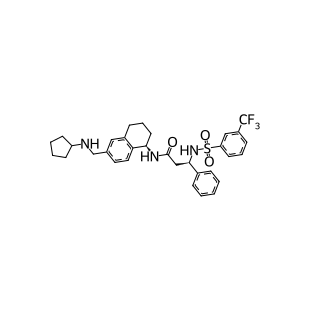 O=C(C[C@@H](NS(=O)(=O)c1cccc(C(F)(F)F)c1)c1ccccc1)N[C@@H]1CCCc2cc(CNC3CCCC3)ccc21